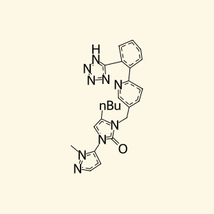 CCCCc1cn(-c2ccnn2C)c(=O)n1Cc1ccc(-c2ccccc2-c2nnn[nH]2)nc1